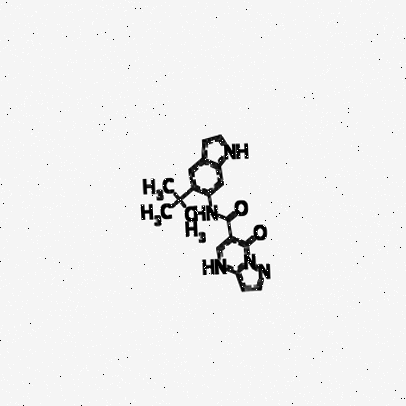 CC(C)(C)c1cc2cc[nH]c2cc1NC(=O)c1c[nH]c2ccnn2c1=O